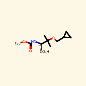 CC(C)(C)OC(=O)N[C@H](C(=O)O)C(C)(C)OCC1CC1